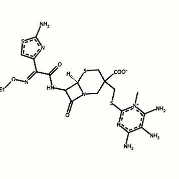 CCON=C(C(=O)NC1C(=O)N2CC(CSc3nc(N)c(N)c(N)[n+]3C)(C(=O)[O-])CS[C@H]12)c1csc(N)n1